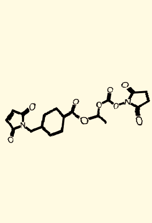 CC(OC(=O)ON1C(=O)CCC1=O)OC(=O)C1CCC(CN2C(=O)C=CC2=O)CC1